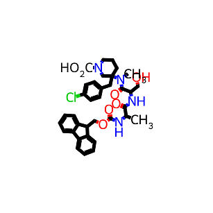 CC(NC(=O)OCC1c2ccccc2-c2ccccc21)C(=O)NC(CO)C(=O)N(C)C1(Cc2ccc(Cl)cc2)CCCN(C(=O)O)C1